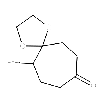 CCC1CCC(=O)CCC12OCCO2